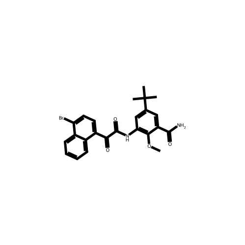 COc1c(NC(=O)C(=O)c2ccc(Br)c3ccccc23)cc(C(C)(C)C)cc1C(N)=O